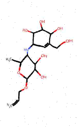 C=CCOC1OC(C)C(NC2C=C(CO)C(O)C(O)C2O)C(O)C1O